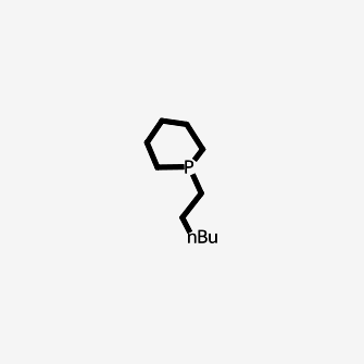 CCCCCCP1CCCCC1